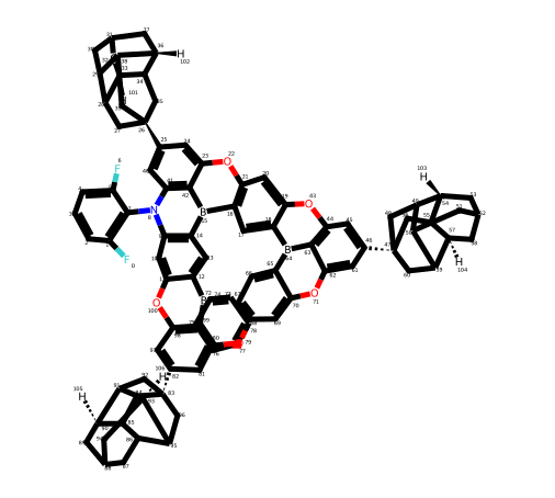 Fc1cccc(F)c1N1c2cc3c(cc2B2c4cc5c(cc4Oc4cc([C@]67CC8C9CC%10C[C@@H]8C(C6)[C@@H](C%10)C9C7)cc1c42)Oc1cc([C@]24CC6C7CC8C[C@@H]6C(C2)[C@@H](C8)C7C4)cc2c1B5c1ccccc1O2)B1c2ccccc2Oc2cc([C@]45CC6C7CC8C[C@H]6C(C4)[C@H](C8)C7C5)cc(c21)O3